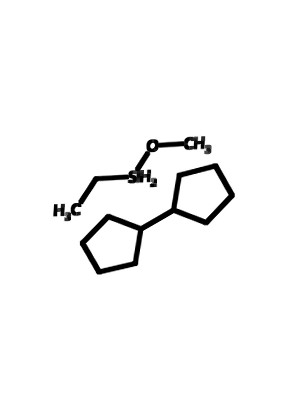 C1CCC(C2CCCC2)C1.CC[SiH2]OC